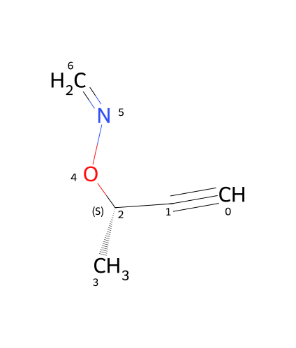 C#C[C@H](C)ON=C